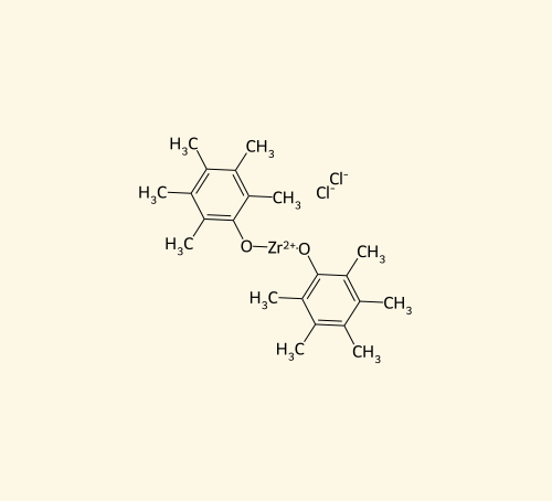 Cc1c(C)c(C)c([O][Zr+2][O]c2c(C)c(C)c(C)c(C)c2C)c(C)c1C.[Cl-].[Cl-]